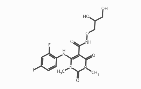 Cn1c(Nc2ccc(I)cc2F)c(C(=O)NOCC(O)CO)c(=O)n(C)c1=O